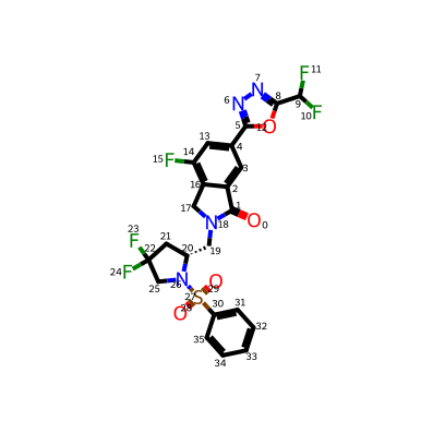 O=C1c2cc(-c3nnc(C(F)F)o3)cc(F)c2CN1C[C@H]1CC(F)(F)CN1S(=O)(=O)c1ccccc1